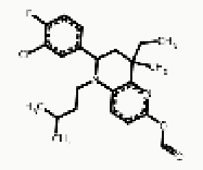 CCC1(C)CC(c2ccc(F)c(Cl)c2)N(CCC(C)C)c2ccc(OC=O)nc21